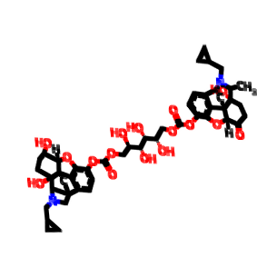 CC1N(CC2CC2)C2C[C@]34c5c2ccc(OC(=O)OC[C@H](O)[C@@H](O)[C@H](O)[C@H](O)COC(=O)Oc2ccc6c7c2O[C@H]2C(O)CCC8(O)C9N(CC%10CC%10)CC69C[C@]728)c5O[C@H]3C(=O)CC[C@@]14O